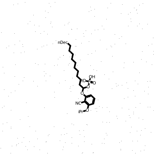 CCCCCCCCCCCCCCCCCCCCC(Oc1cccc(OC(C)C)c1C#N)OP(=O)(O)O